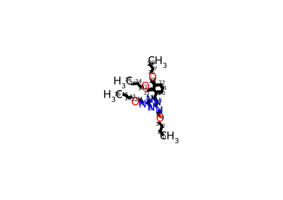 CCCCOC=Nc1nc(N=COCCCC)nc(-c2cccc(=COCCCC)c2=COCCCC)n1